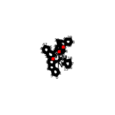 c1ccc2c(c1)Cc1cccc(-c3nc4ccccc4nc3-n3c4ccc(C56CC5c5ccccc5-c5ccccc56)cc4c4c5ccccc5ccc43)c1-2